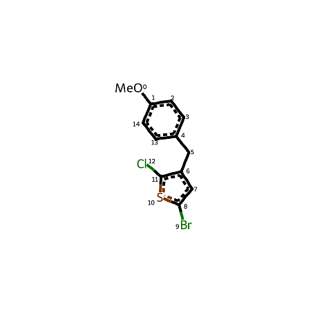 COc1ccc(Cc2cc(Br)sc2Cl)cc1